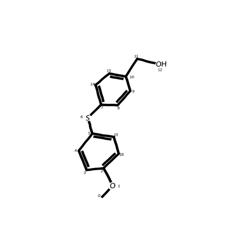 COc1ccc(Sc2ccc(CO)cc2)cc1